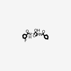 O=C(NC[C@@H]1CO[C@H](CNC(=O)c2cccc(F)c2)[C@H]1O)c1ccccc1